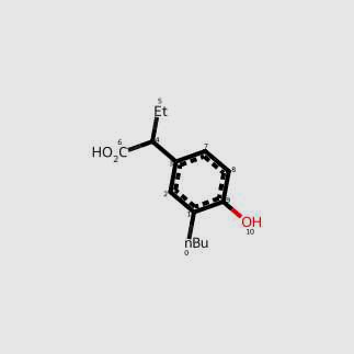 CCCCc1cc(C(CC)C(=O)O)ccc1O